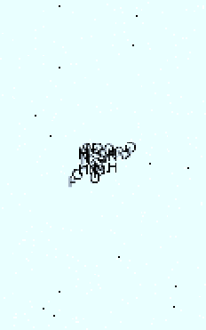 COc1cccc2c1CC[C@H]2NC(=O)c1ccc(-c2c3c(nc(CCc4ccc(F)cc4)c2-c2noc(=O)[nH]2)[C@@H]2CCCN2C3=O)s1